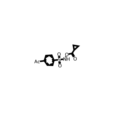 CC(=O)c1ccc(S(=O)(=O)NOC(=O)C2CC2)cc1